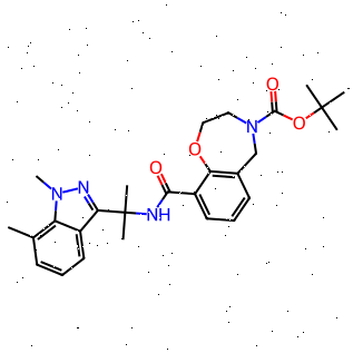 Cc1cccc2c(C(C)(C)NC(=O)c3cccc4c3OCCN(C(=O)OC(C)(C)C)C4)nn(C)c12